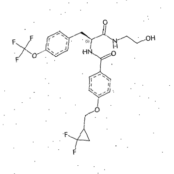 O=C(N[C@@H](Cc1ccc(OC(F)(F)F)cc1)C(=O)NCCO)c1ccc(OCC2CC2(F)F)cc1